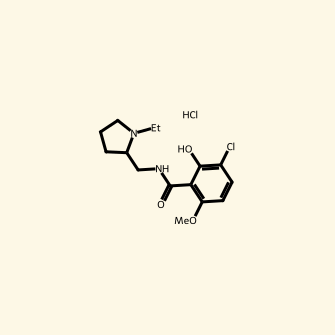 CCN1CCCC1CNC(=O)c1c(OC)ccc(Cl)c1O.Cl